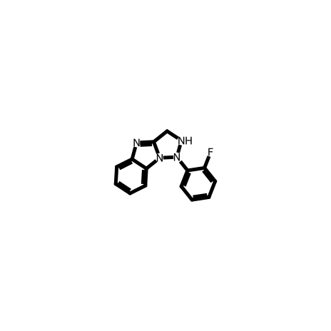 Fc1ccccc1N1NCc2nc3ccccc3n21